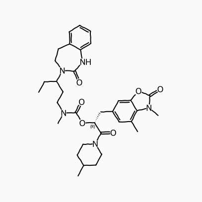 CCC(CCN(C)C(=O)O[C@H](Cc1cc(C)c2c(c1)oc(=O)n2C)C(=O)N1CCC(C)CC1)N1CCc2ccccc2NC1=O